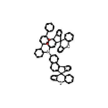 c1ccc(-c2ccc(-c3ccccc3N(c3ccc4c(c3)C3(c5ccccc5Oc5ccccc53)c3ccccc3-4)c3ccc4c5c(ccc4c3)C3(c4ccccc4Sc4ccccc43)c3ccccc3-5)cc2)cc1